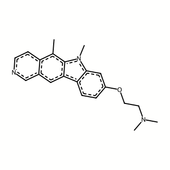 Cc1c2ccncc2cc2c3ccc(OCCN(C)C)cc3n(C)c12